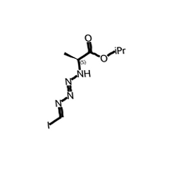 CC(C)OC(=O)[C@H](C)NN=NN=CI